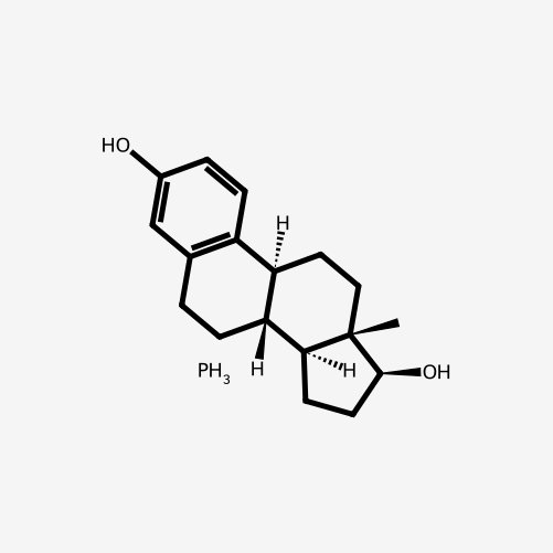 C[C@]12CC[C@@H]3c4ccc(O)cc4CC[C@H]3[C@@H]1CC[C@@H]2O.P